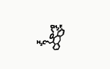 C=CCOC1=C(CC=C)c2ccccc2Cc2ccc(F)cc21